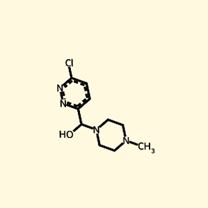 CN1CCN(C(O)c2ccc(Cl)nn2)CC1